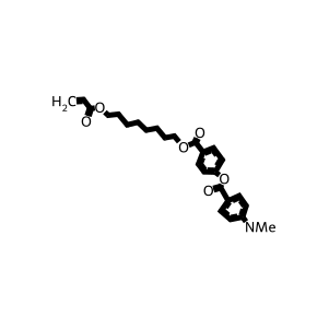 C=CC(=O)OCCCCCCCCOC(=O)c1ccc(OC(=O)c2ccc(NC)cc2)cc1